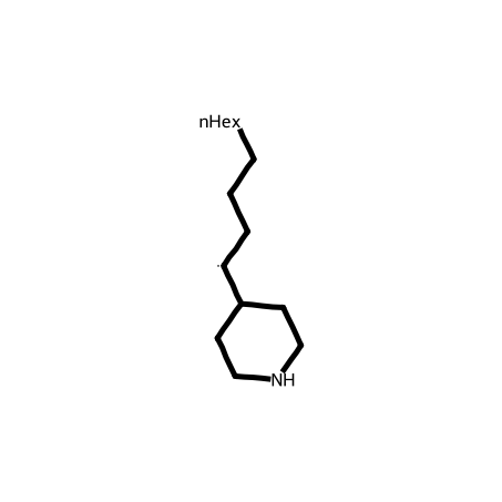 CCCCCCCCC[CH]C1CCNCC1